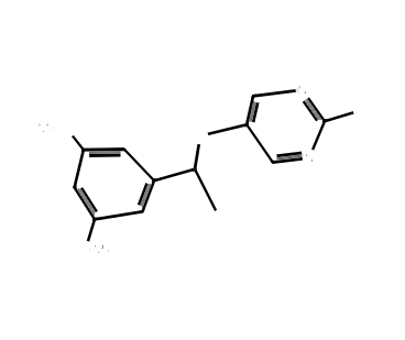 COc1cc(OC)cc(C(C)Oc2cnc(Cl)nc2)c1